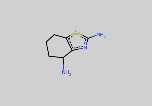 Nc1nc2c(s1)CCCC2N